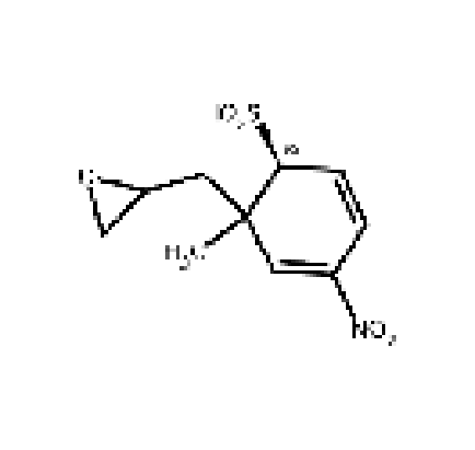 CC1(CC2CO2)C=C([N+](=O)[O-])C=C[C@@H]1S(=O)(=O)O